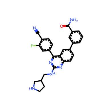 N#Cc1ccc(-c2nc(NCC3CCNC3)nc3ccc(-c4cccc(C(N)=O)c4)cc23)cc1F